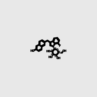 OC[C@H]1O[C@@H](n2cc(Cc3ccc4cc(O)ccc4c3)c3cccc(F)c32)[C@H](O)[C@@H](O)[C@@H]1O